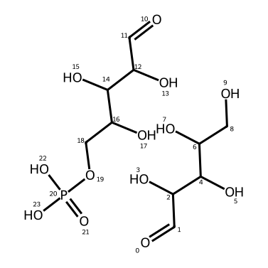 O=CC(O)C(O)C(O)CO.O=CC(O)C(O)C(O)COP(=O)(O)O